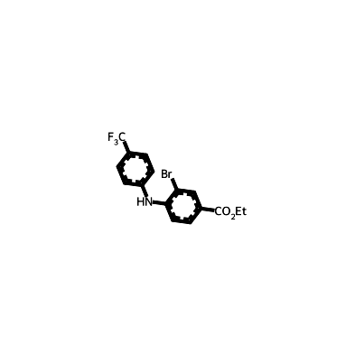 CCOC(=O)c1ccc(Nc2ccc(C(F)(F)F)cc2)c(Br)c1